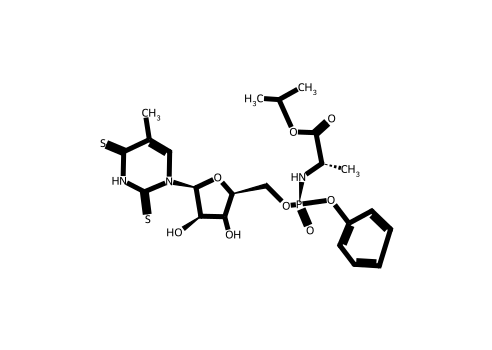 Cc1cn([C@H]2O[C@@H](CO[P@](=O)(N[C@@H](C)C(=O)OC(C)C)Oc3ccccc3)C(O)[C@H]2O)c(=S)[nH]c1=S